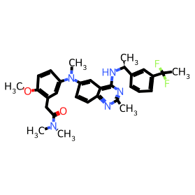 COc1ccc(N(C)c2ccc3nc(C)nc(N[C@H](C)c4cccc(C(C)(F)F)c4)c3c2)cc1CC(=O)N(C)C